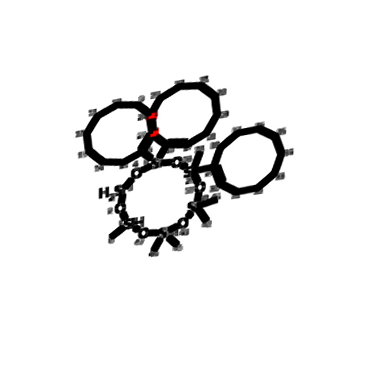 C[SiH]1O[SiH2]O[Si](C2=CCCCCCCCC2)(C2=CCCCCCCCC2)O[Si](C)(C2=CCCCCCCCC2)O[Si](C)(C)O[Si](C)(C)O1